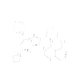 FC(F)(F)c1cccc2ncnc(N3CCCCC3c3cc4nc(N5CCC5)cc(N5CCOCC5)n4n3)c12